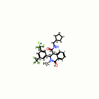 CN1C(=O)c2ccccc2C(C(=O)NCC2CCCC2)C1c1cc(C(F)(F)F)cc(C(F)(F)F)c1